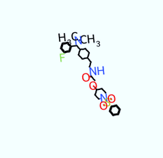 CN(C)C(c1cccc(F)c1)C1CCC(CCNC(=O)COC2CCN(S(=O)(=O)c3ccccc3)CC2)CC1